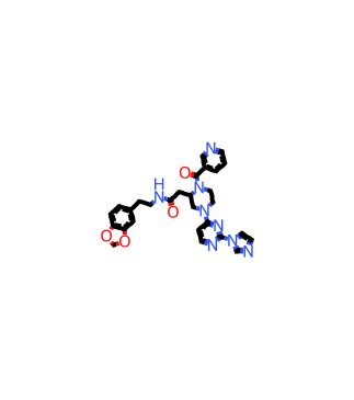 O=C(CC1CN(c2ccnc(-n3ccnc3)n2)CCN1C(=O)c1cccnc1)NCCc1ccc2c(c1)OCO2